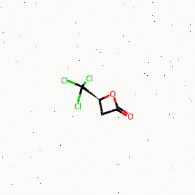 O=C1C[C@@H](C(Cl)(Cl)Cl)O1